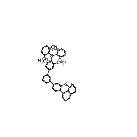 Cc1cccc(C)c1B(c1c(C)cccc1C)c1c(C)cc(-c2cccc(-c3ccc4c(c3)Sc3nccc5cccc-4c35)c2)cc1C